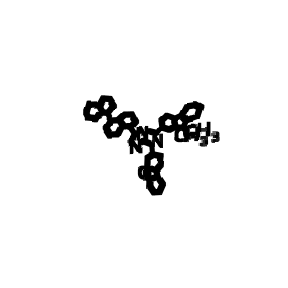 CC1(C)c2ccccc2-c2ccc(-c3cn4c(-c5cccc6c(-c7cccc8ccccc78)cccc56)cnc4c(-c4ccc5c(c4)oc4ccccc45)n3)cc21